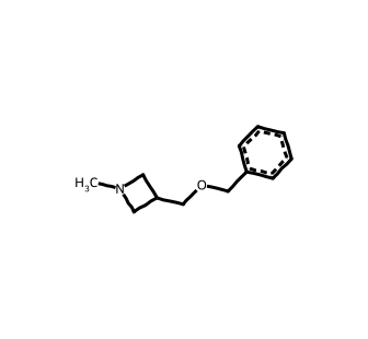 CN1CC(COCc2ccccc2)C1